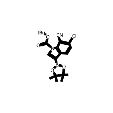 CC(C)(C)OC(=O)n1cc(B2OC(C)(C)C(C)(C)O2)c2ccc(Cl)c(C#N)c21